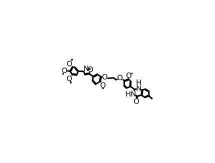 COc1cc(C2NC(=O)c3cc(C)ccc3N2)ccc1OCCCOc1cc(-c2cc(-c3cc(OC)c(OC)c(OC)c3)no2)ccc1OC